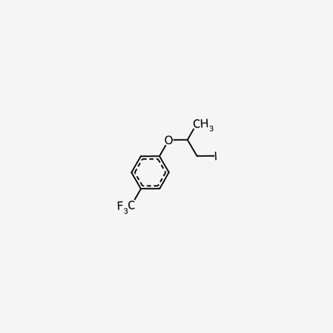 CC(CI)Oc1ccc(C(F)(F)F)cc1